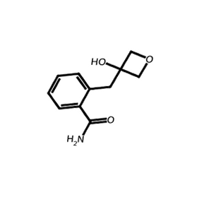 NC(=O)c1ccccc1CC1(O)COC1